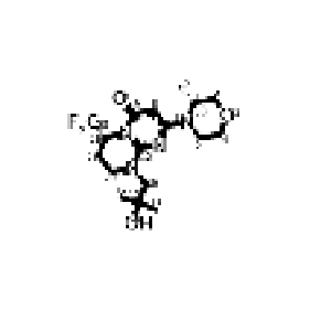 C[C@@H]1COCCN1c1cc(=O)n2c(n1)N(CC(C)(C)O)CC[C@@H]2C(F)(F)F